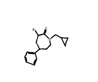 O=C1C(Br)CC(c2ccccc2)CCN1CC1CC1